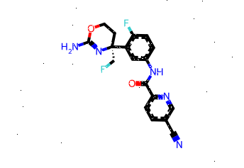 N#Cc1ccc(C(=O)Nc2ccc(F)c([C@]3(CF)CCOC(N)=N3)c2)nc1